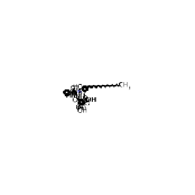 CCCCCCCCCCCCCCCc1ccc(/N=N/c2c(NC(=O)c3cc(S(=O)(=O)O)cc(S(=O)(=O)O)c3)[nH]n(-c3ccccc3)c2=O)c(O)c1